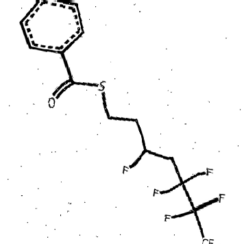 O=C(SCCC(F)CC(F)(F)C(F)(F)C(F)(F)F)c1ccccc1